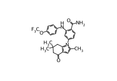 Cc1cc2c(n1-c1ccc(C(N)=O)c(Nc3ccc(OC(F)(F)F)cc3)c1)CC(C)(C)CC2=O